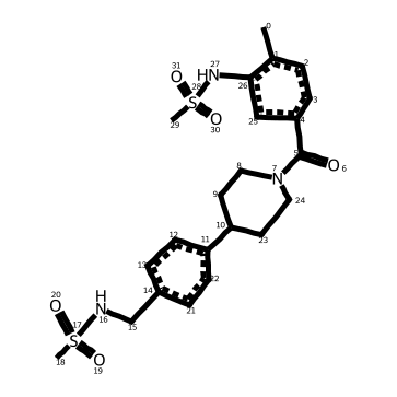 Cc1ccc(C(=O)N2CCC(c3ccc(CNS(C)(=O)=O)cc3)CC2)cc1NS(C)(=O)=O